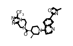 Cc1coc(-c2ccc3c(N4CC[C@H](C(=O)N5CCn6c(nnc6C(F)(F)F)C5)[C@H](C)C4)ccnc3c2)n1